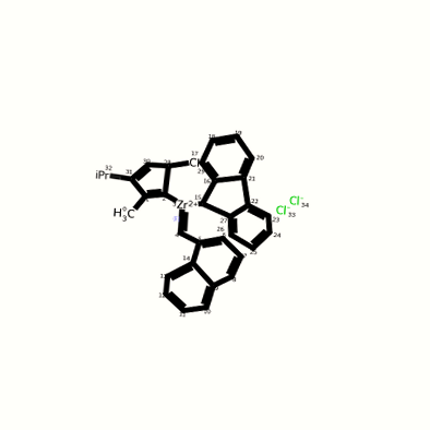 CC1=[C](/[Zr+2](=[CH]/c2cccc3ccccc23)[CH]2c3ccccc3-c3ccccc32)C(C)C=C1C(C)C.[Cl-].[Cl-]